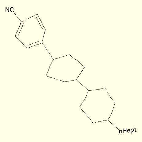 CCCCCCCC1CCC(C2CCC(c3ccc(C#N)cc3)CC2)CC1